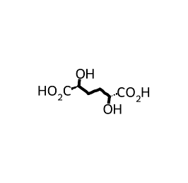 O=C(O)[C@H](O)CC[C@H](O)C(=O)O